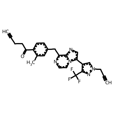 C#CCCC(=O)c1ccc(Cc2nccn3c(-c4cn(CC#C)nc4C(F)(F)F)cnc23)cc1C